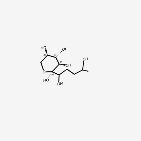 CC(O)CCC(O)[C@@]1(O)OC[C@@H](O)[C@H](O)[C@H]1O